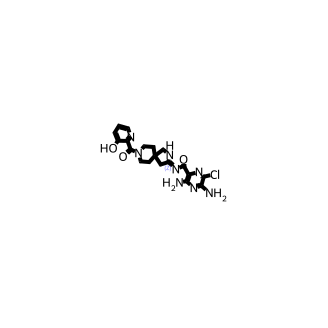 Nc1nc(N)c(C(=O)/N=C2/CC3(CCN(C(=O)c4ncccc4O)CC3)CN2)nc1Cl